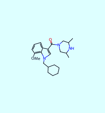 COc1cccc2c(C(=O)N3CC(C)NC(C)C3)cn(CC3CCCCC3)c12